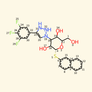 OCC1O[C@H](Sc2ccc3ccccc3c2)C(O)C(N2C=C(c3cc(F)c(F)c(F)c3)NN2)[C@H]1O